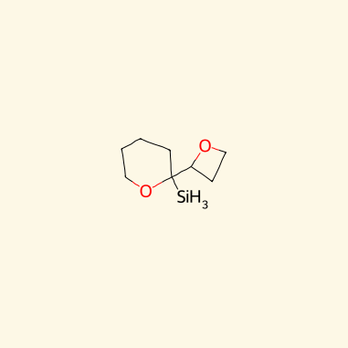 [SiH3]C1(C2CCO2)CCCCO1